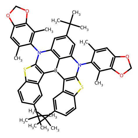 Cc1cc2c(c(C)c1N1c3cc(C(C)(C)C)cc4c3B(c3c1sc1ccc(C(C)(C)C)cc31)c1c(sc3ccc(C(C)(C)C)cc13)N4c1c(C)cc3c(c1C)OCO3)OCO2